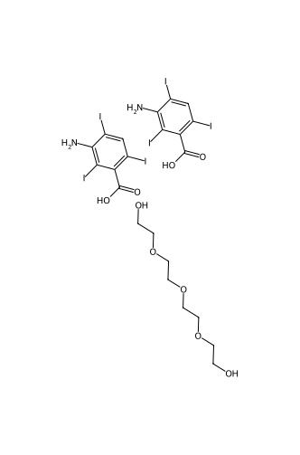 Nc1c(I)cc(I)c(C(=O)O)c1I.Nc1c(I)cc(I)c(C(=O)O)c1I.OCCOCCOCCOCCO